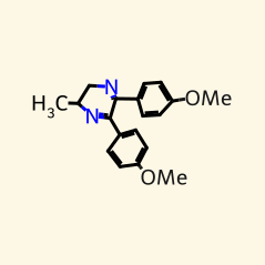 COc1ccc(C2=NCC(C)N=C2c2ccc(OC)cc2)cc1